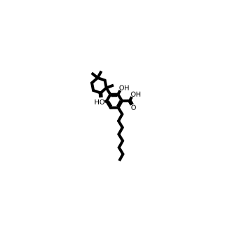 C=C1CCC(C)(C)CC1(C)c1c(O)cc(CCCCCCCC)c(C(=O)O)c1O